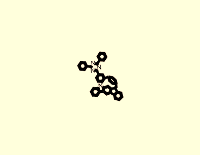 CC12c3ccc(cc3)-c3cc(-c4nc(-c5ccccc5)nc(-c5ccccc5)n4)ccc3-n3c4ccccc4c4cc(c1cc43)-c1ccccc12